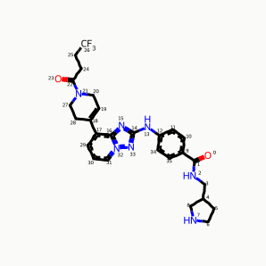 O=C(NCC1CCNC1)c1ccc(Nc2nc3c(C4=CCN(C(=O)CCC(F)(F)F)CC4)cccn3n2)cc1